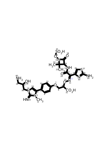 Cn1c(-c2ccc(OCC(O/N=C(\C(=O)NC3C(=O)N(OS(=O)(=O)O)C3(C)C)c3csc(N)n3)C(=O)O)cc2)cn(CC(O)CN)c1=N